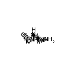 CC(=O)c1ccc(-c2nccc3[nH]c(-c4n[nH]c5ccc(-c6cncc(N7CC(N)C7)n6)cc45)cc23)s1